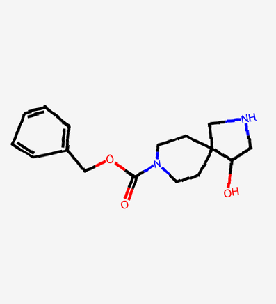 O=C(OCc1ccccc1)N1CCC2(CC1)CNCC2O